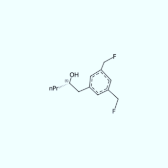 CCC[C@H](O)Cc1cc(CF)cc(CF)c1